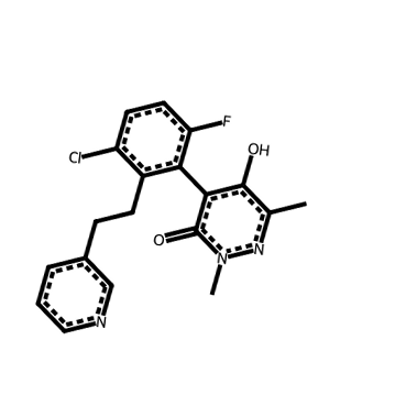 Cc1nn(C)c(=O)c(-c2c(F)ccc(Cl)c2CCc2cccnc2)c1O